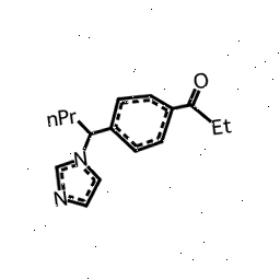 CCCC(c1ccc(C(=O)CC)cc1)n1ccnc1